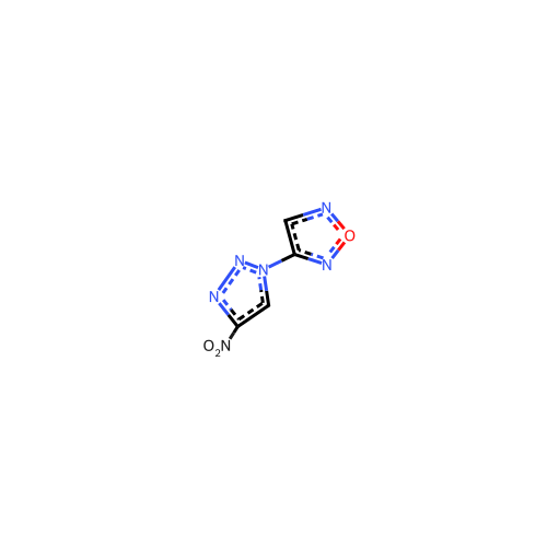 O=[N+]([O-])c1cn(-c2cnon2)nn1